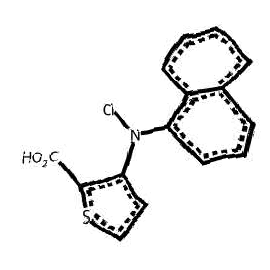 O=C(O)c1sccc1N(Cl)c1cccc2ccccc12